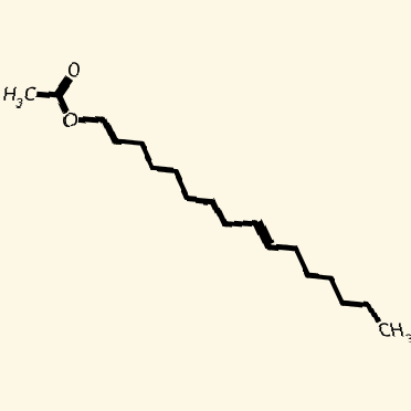 CCCCCC/C=C/CCCCCCCCOC(C)=O